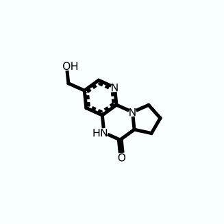 O=C1Nc2cc(CO)cnc2N2CCCC12